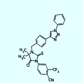 CC1(C)C(=O)N(c2ccc(C#N)c(C(F)(F)F)c2)C(=S)N1Cc1ccc(-c2cn(-c3ccccc3)nn2)cc1